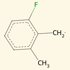 [CH2]c1c(C)cccc1F